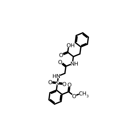 COC(=O)c1ccccc1S(=O)(=O)NCC(=O)NC(Cc1ccccc1)C(=O)O